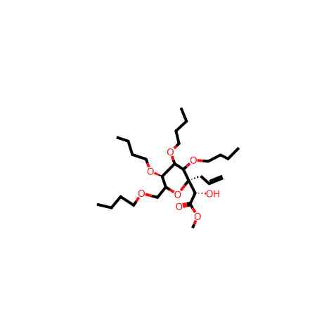 C=CC[C@]1([C@H](O)C(=O)OC)OC(COCCCC)[C@@H](OCCCC)C(OCCCC)C1OCCCC